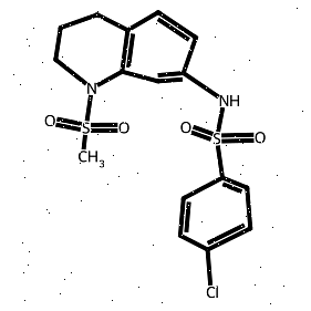 CS(=O)(=O)N1CCCc2ccc(NS(=O)(=O)c3ccc(Cl)cc3)cc21